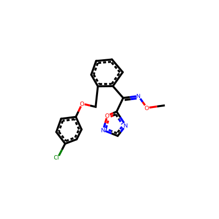 CON=C(c1ncno1)c1ccccc1COc1ccc(Cl)cc1